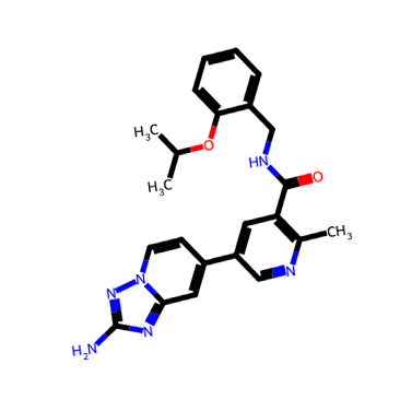 Cc1ncc(-c2ccn3nc(N)nc3c2)cc1C(=O)NCc1ccccc1OC(C)C